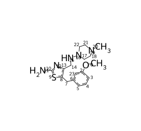 COc1cccc(Cc2sc(N)nc2CNN2CCN(C)CC2)c1